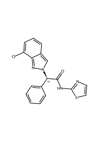 O=C(Nc1nccs1)[C@@H](c1ccccc1)n1cc2cccc(Cl)c2n1